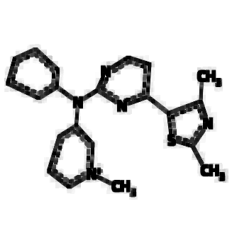 Cc1nc(C)c(-c2ccnc(N(c3ccccc3)c3ccc[n+](C)c3)n2)s1